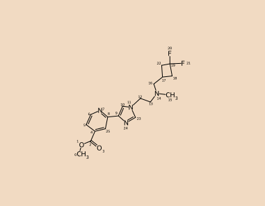 COC(=O)c1ccnc(-c2cn(CCN(C)CC3CC(F)(F)C3)cn2)c1